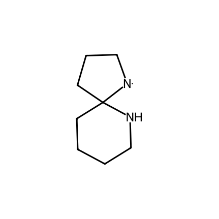 C1CCC2(CCC[N]2)NC1